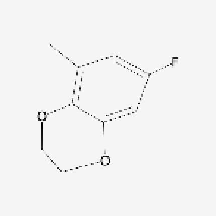 Cc1cc(F)cc2c1OCCO2